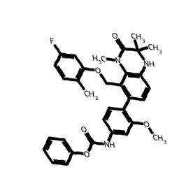 COc1cc(NC(=O)Oc2ccccc2)ccc1-c1ccc2c(c1COc1cc(F)ccc1C)N(C)C(=O)C(C)(C)N2